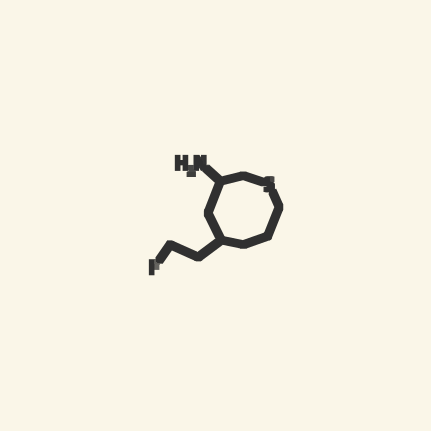 NC1CSCCCC(CCF)C1